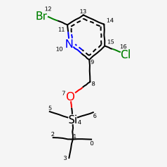 CC(C)(C)[Si](C)(C)OCc1nc(Br)ccc1Cl